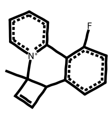 CC12C=CC1c1cccc(F)c1-c1cccc[n+]12